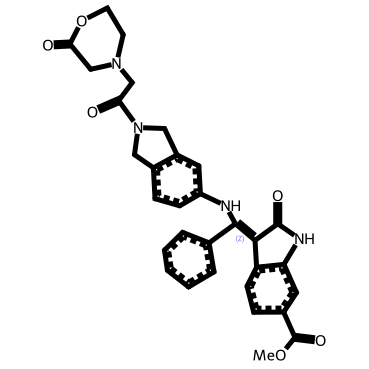 COC(=O)c1ccc2c(c1)NC(=O)/C2=C(\Nc1ccc2c(c1)CN(C(=O)CN1CCOC(=O)C1)C2)c1ccccc1